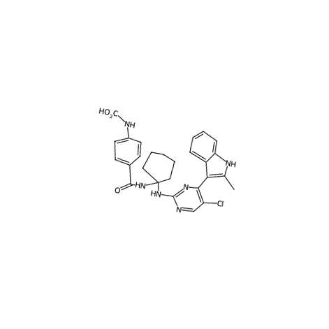 Cc1[nH]c2ccccc2c1-c1nc(NC2(NC(=O)c3ccc(NC(=O)O)cc3)CCCCC2)ncc1Cl